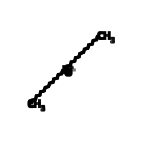 CCCCCCCCCCCCCCCC=[N+]([O-])CCCCCCCCCCCCCCCC